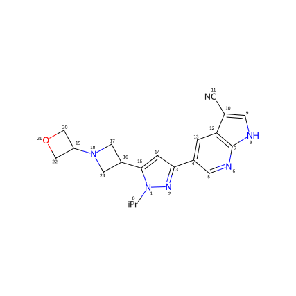 CC(C)n1nc(-c2cnc3[nH]cc(C#N)c3c2)cc1C1CN(C2COC2)C1